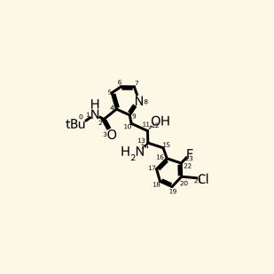 CC(C)(C)NC(=O)c1cccnc1C[C@H](O)[C@H](N)Cc1cccc(Cl)c1F